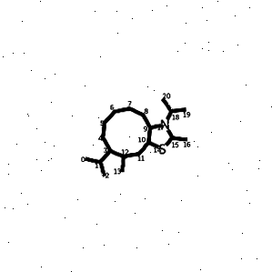 CC(C)C1CCCCCC2C(CC1C)SC(C)N2C(C)C